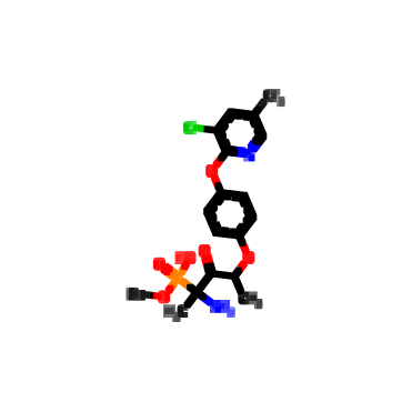 CCC(C)OP(=O)(O)C(C)(N)C(=O)C(C)Oc1ccc(Oc2ncc(C(F)(F)F)cc2Cl)cc1